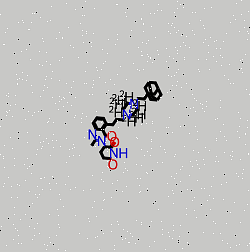 [2H]C1([2H])N(CCCc2cccc3nc(C)n(C4CCC(=O)NC4=O)c(=O)c23)C([2H])([2H])C([2H])([2H])N(CCC23CC4CC(CC(C4)C2)C3)C1([2H])[2H]